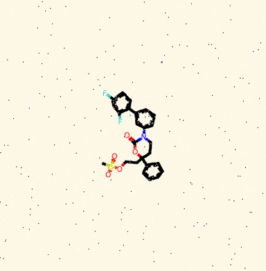 CS(=O)(=O)OCCC1(c2ccccc2)CCN(c2cccc(-c3ccc(F)cc3F)c2)C(=O)O1